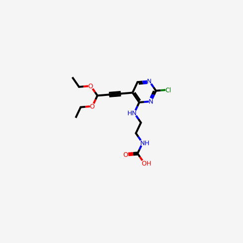 CCOC(C#Cc1cnc(Cl)nc1NCCNC(=O)O)OCC